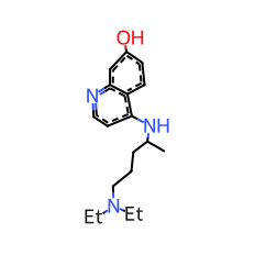 CCN(CC)CCCC(C)Nc1ccnc2cc(O)ccc12